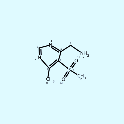 Cc1ncnc(CN)c1S(C)(=O)=O